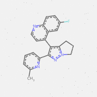 Cc1cccc(-c2nn3c(c2-c2ccnc4ccc(F)cc24)CCC3)n1